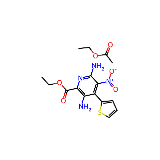 CCOC(=O)c1nc(N)c([N+](=O)[O-])c(-c2cccs2)c1N.CCOC(C)=O